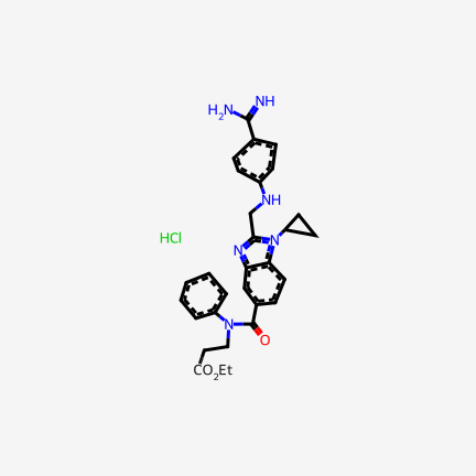 CCOC(=O)CCN(C(=O)c1ccc2c(c1)nc(CNc1ccc(C(=N)N)cc1)n2C1CC1)c1ccccc1.Cl